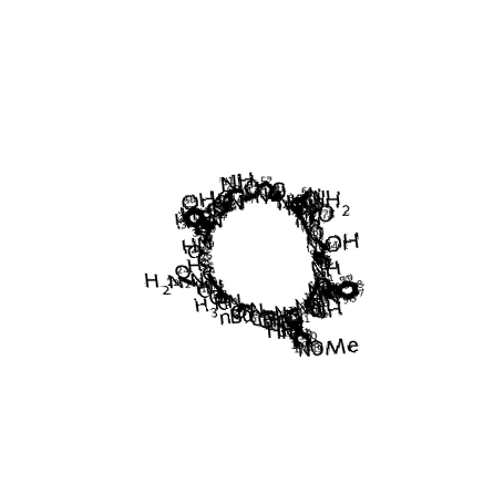 CCCC[C@H]1C(=O)N(C)[C@@H](CCCC)C(=O)N[C@@H](C)C(=O)N[C@H](C(=O)NCC(N)=O)CSCC(=O)N[C@@H](Cc2ccc(O)cc2)C(=O)N(C)[C@@H](C)C(=O)N[C@@H](CC(N)=O)C(=O)N2CCCC2C(=O)N[C@@H](Cc2cnc[nH]2)C(=O)N[C@@H](CCC(N)=O)C(=O)N2C[C@H](O)C[C@H]2C(=O)N[C@@H](Cc2c[nH]c3ccccc23)C(=O)N[C@@H](CO)C(=O)N[C@@H](Cc2c[nH]c3cnc(OC)cc23)C(=O)N1C